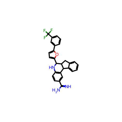 N=C(N)c1ccc2c(c1)C1c3ccccc3CC1C(c1ccc(-c3cccc(C(F)(F)F)c3)o1)N2